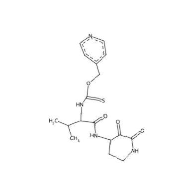 CC(C)C(NC(=S)OCc1ccncc1)C(=O)NC1CCNC(=O)C1=O